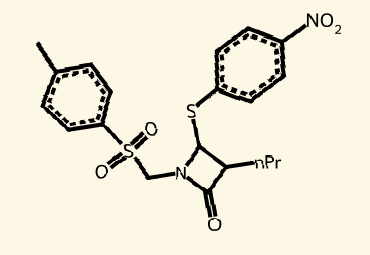 CCCC1C(=O)N(CS(=O)(=O)c2ccc(C)cc2)C1Sc1ccc([N+](=O)[O-])cc1